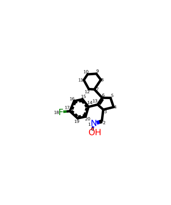 ON=CC1CCC(C2CCCCC2)=C1c1ccc(F)cc1